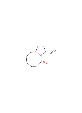 C=C[C@H]1CCC2CCCCCC(=O)N21